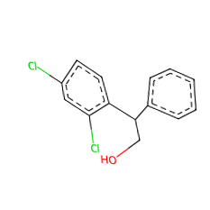 OCC(c1ccccc1)c1ccc(Cl)cc1Cl